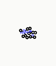 C1=CCC2C(=C1)C=c1c(c3c(n1-c1cccc4ccc(C5N=C(c6ccccc6)NC(c6cc7ccccc7c7ccccc67)N5)cc14)CCC=C3)=C2n1c2ccccc2c2ccccc21